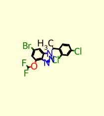 C[C@H](c1ccc(Cl)cc1Cl)n1nnc2c(OC(F)F)cc(Br)cc21